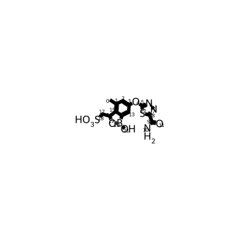 Cc1cc(Oc2nnc(C(N)=O)s2)cc2c1C(CS(=O)(=O)O)OB2O